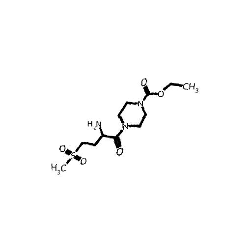 CCOC(=O)N1CCN(C(=O)C(N)CCS(C)(=O)=O)CC1